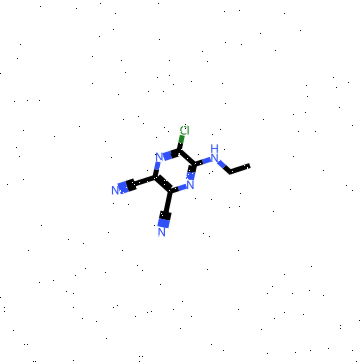 CCNc1nc(C#N)c(C#N)nc1Cl